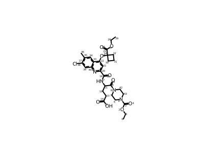 CCOC(=O)N1CCN(C(=O)C(CCC(=O)O)NC(=O)c2cc(OC3(C(=O)OCC)CCC3)c3cc(C)c(Cl)cc3n2)CC1